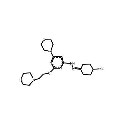 CC(C)(C)C1CCC(=NNc2cc(N3CCOCC3)nc(OCCN3CCOCC3)n2)CC1